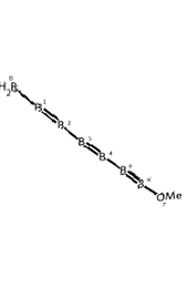 BB=BB=BB=BOC